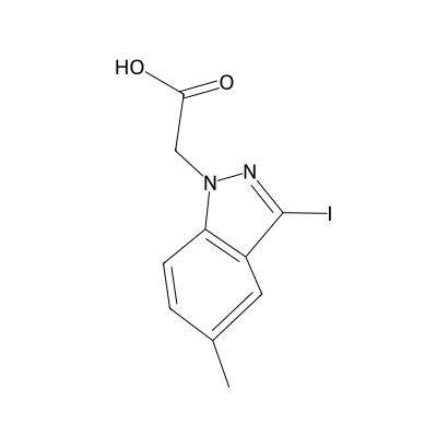 Cc1ccc2c(c1)c(I)nn2CC(=O)O